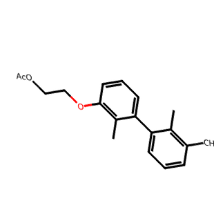 CC(=O)OCCOc1cccc(-c2cccc(C=O)c2C)c1C